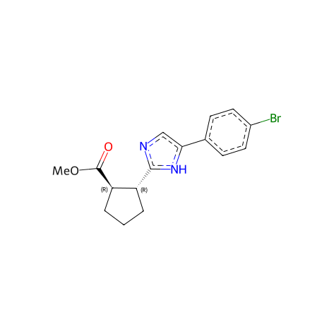 COC(=O)[C@@H]1CCC[C@H]1c1ncc(-c2ccc(Br)cc2)[nH]1